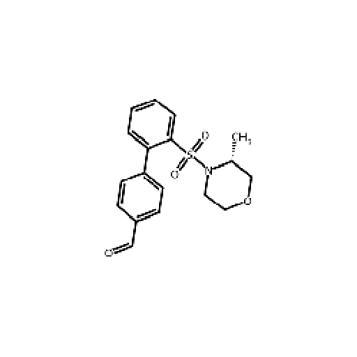 C[C@@H]1COCCN1S(=O)(=O)c1ccccc1-c1ccc(C=O)cc1